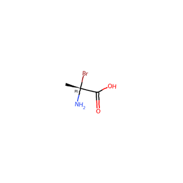 C[C@@](N)(Br)C(=O)O